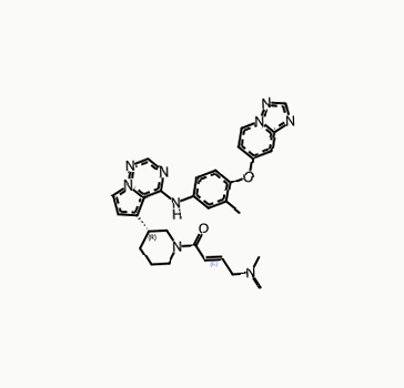 Cc1cc(Nc2ncnn3ccc([C@H]4CCCN(C(=O)/C=C/CN(C)C)C4)c23)ccc1Oc1ccn2ncnc2c1